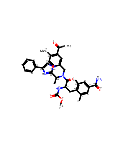 COC(=O)c1cc(CN(C(=O)C(Cc2c(C)cc(C(N)=O)cc2C)NC(=O)OC(C)(C)C)C(C)c2nc(-c3ccccc3)c[nH]2)ccc1OC